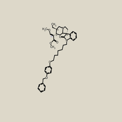 CC[C@H]1CN2CC[C@]3(C(=O)N(CCCCCCCOc4ccc(OCc5ccccc5)cc4)c4ccccc43)C2C[C@@H]1/C(=C\OC)C(=O)OC